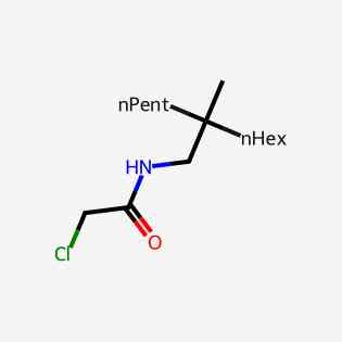 CCCCCCC(C)(CCCCC)CNC(=O)CCl